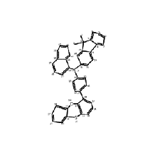 CC1(C)c2ccccc2-c2ccc(N(c3ccc(-c4cccc5c4Oc4ccccc4S5)cc3)c3cccc4ccccc34)cc21